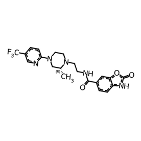 C[C@@H]1CN(c2ccc(C(F)(F)F)cn2)CCN1CCNC(=O)c1ccc2[nH]c(=O)oc2c1